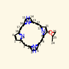 C1=Cc2cc3ccc(cc4nc(cc5ccc(cc1n2)[nH]5)C=C4)[nH]3.CC1CO1